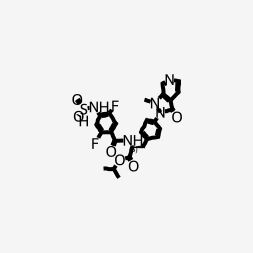 CC(C)OC(=O)[C@H](Cc1ccc(-n2c(=O)c3ccncc3n2C)cc1)NC(=O)c1cc(F)c(N[SH](=O)=O)cc1F